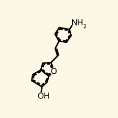 Nc1ccc(/C=C/c2cc3ccc(O)cc3o2)cc1